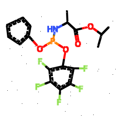 CC(C)OC(=O)C(C)NP(Oc1ccccc1)Oc1c(F)c(F)c(F)c(F)c1F